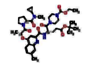 CCOC(=O)N1CCN(C(=O)[C@H](CCC(=O)OC(C)(C)C)NC(=O)c2cc(O[C@H](C)C(=O)N3CCC[C@H]3C(=O)N(C)C3CC3)c3ccc(C)cc3n2)CC1